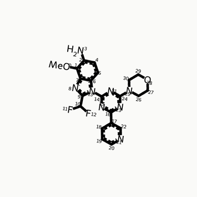 COc1c(N)ccc2c1nc(C(F)F)n2-c1nc(-c2cccnc2)nc(N2CCOCC2)n1